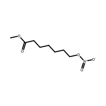 COC(=O)CCCCCCO[N+](=O)[O-]